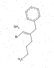 CCCCC(=CBr)Cc1ccccc1.[SiH4]